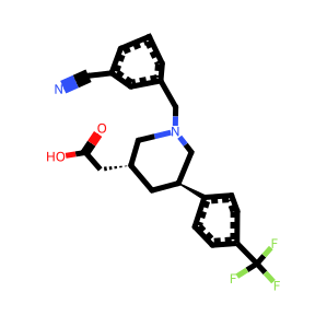 N#Cc1cccc(CN2C[C@@H](CC(=O)O)C[C@H](c3ccc(C(F)(F)F)cc3)C2)c1